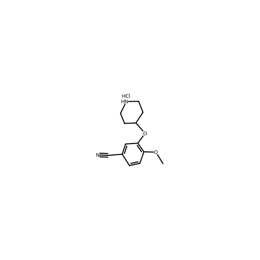 COc1ccc(C#N)cc1OC1CCNCC1.Cl